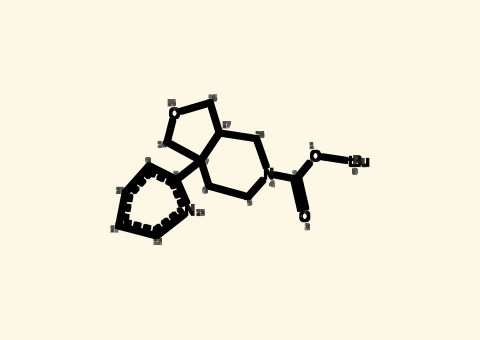 CC(C)(C)OC(=O)N1CCC2(c3ccccn3)COCC2C1